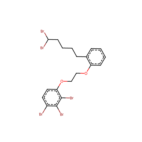 Brc1ccc(OCCOc2ccccc2CCCCC(Br)Br)c(Br)c1Br